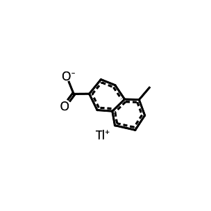 Cc1cccc2cc(C(=O)[O-])ccc12.[Tl+]